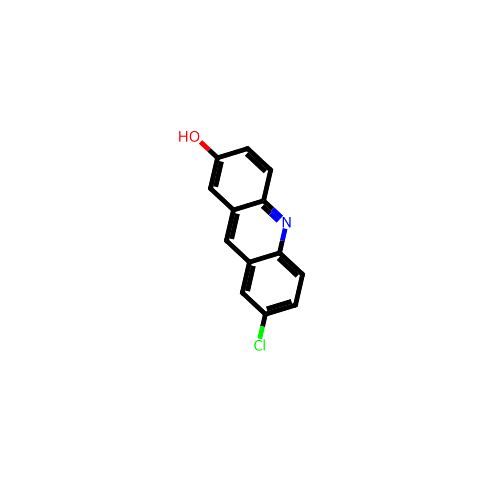 Oc1ccc2nc3ccc(Cl)cc3cc2c1